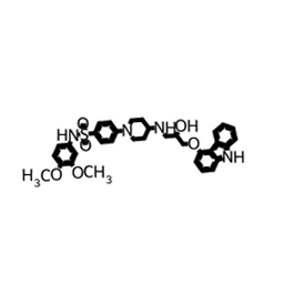 COc1ccc(NS(=O)(=O)c2ccc(N3CCC(NCC(O)COc4cccc5[nH]c6ccccc6c45)CC3)cc2)cc1OC